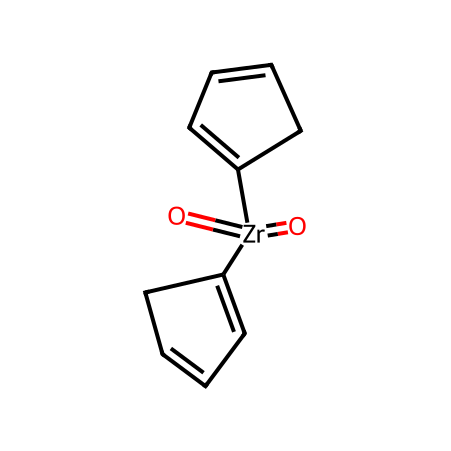 [O]=[Zr](=[O])([C]1=CC=CC1)[C]1=CC=CC1